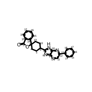 O=C1OC2(CCC(c3nc4ncc(-c5ccccc5)nc4[nH]3)CC2)c2ccccc21